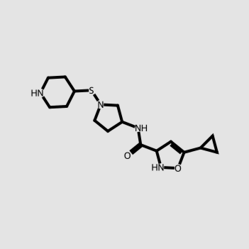 O=C(NC1CCN(SC2CCNCC2)C1)C1C=C(C2CC2)ON1